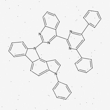 c1ccc(-c2cc(-c3ccccc3)nc(-c3nc(-n4c5ccccc5c5ccc6c(ccn6-c6ccccc6)c54)nc4ccccc34)n2)cc1